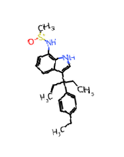 CCc1ccc(C(CC)(CC)c2c[nH]c3c(N[S+](C)[O-])cccc23)cc1